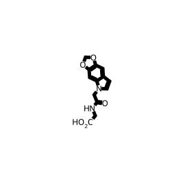 O=C(O)CNC(=O)Cn1ccc2cc3c(cc21)OCO3